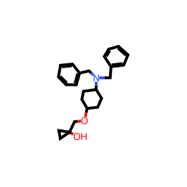 OC1(COC2CCC(N(Cc3ccccc3)Cc3ccccc3)CC2)CC1